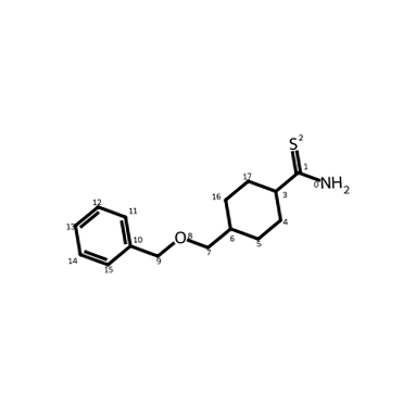 NC(=S)C1CCC(COCc2ccccc2)CC1